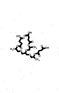 CC(COCC(COCC(C)OC(=O)CCC(=O)O)OCC(C)OC(=O)CCC(=O)O)OC(=O)CCC(=O)O